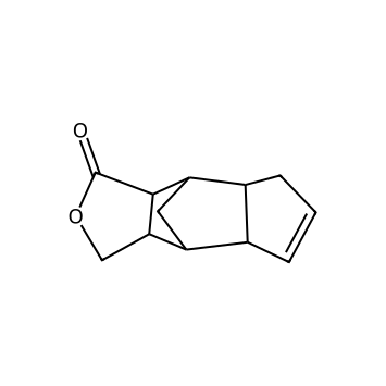 O=C1OCC2C3CC(C4CC=CC34)C12